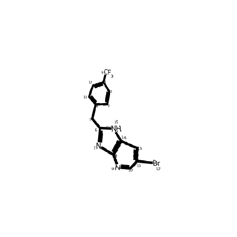 FC(F)(F)c1ccc(Cc2nc3ncc(Br)cc3[nH]2)cc1